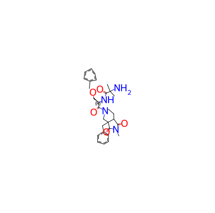 CN1C(=O)C2CCN(C(=O)[C@@H](COCc3ccccc3)NC(=O)C(C)(C)N)CC2(Cc2ccccc2)C1=O